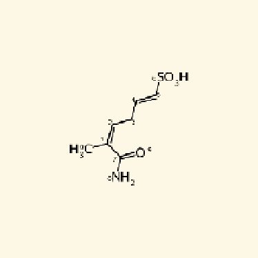 CC(=CCC=CS(=O)(=O)O)C(N)=O